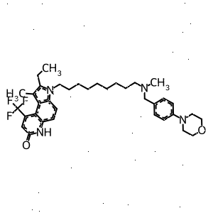 CCc1c(C)c2c3c(C(F)(F)F)cc(=O)[nH]c3ccc2n1CCCCCCCCCN(C)Cc1ccc(N2CCOCC2)cc1